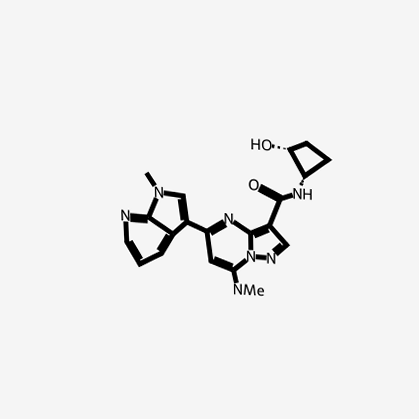 CNc1cc(-c2cn(C)c3ncccc23)nc2c(C(=O)N[C@H]3CC[C@H]3O)cnn12